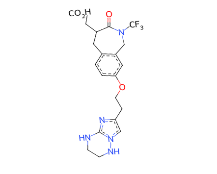 O=C(O)CC1Cc2ccc(OCCc3cn4c(n3)NCCN4)cc2CN(C(F)(F)F)C1=O